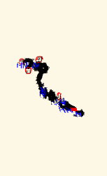 CN1CCC[C@@H]1c1cc2cnc(NC(=O)c3ccc(-c4cnn(CCCC#Cc5cccc6c5CN(C5CCC(=O)NC5=O)C6=O)c4)cc3)cc2[nH]1